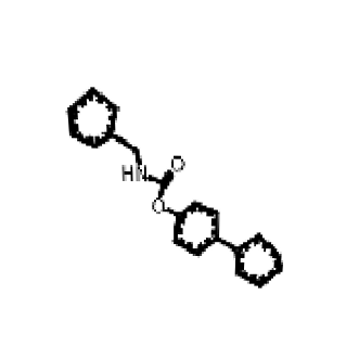 O=C(NCc1ccccc1)Oc1ccc(-c2ccccc2)cc1